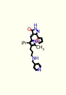 Cc1[nH]c(/C=C2/C(=O)NN=C2c2ccco2)c(C(C)C)c1CCCNCc1ccncc1